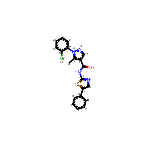 Cc1c(C(=O)Nc2ncc(-c3ccccc3)s2)cnn1-c1ccccc1Br